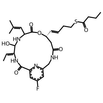 C/C=C1\NC(=O)c2cc(F)cc(n2)CNC(=O)C[C@@H](/C=C/CCSC(=O)CCC)OC(=O)C(C=C(C)C)NC1O